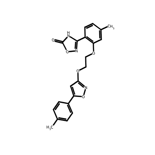 Cc1ccc(-c2cc(OCCOc3cc(C)ccc3-c3noc(=O)[nH]3)no2)cc1